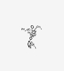 CCCCc1nc(=O)c(S(=O)(=O)c2ccc(-c3cccnc3C)cc2)c(O)n1C(COC)c1ccccc1